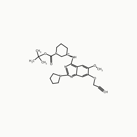 C#CCOc1cc2nc(N3CCCC3)nc(N[C@@H]3CCCN(C(=O)OC(C)(C)C)C3)c2cc1OC